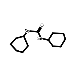 O=C([Se]C1CCCCC1)[Se]C1CCCCC1